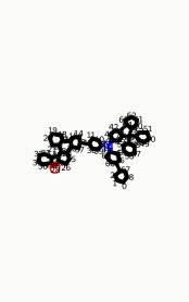 c1ccc(-c2ccc(N(c3ccc(-c4ccc5c6ccccc6c6c(ccc7oc8ccccc8c76)c5c4)cc3)c3ccc4c(c3)C(c3ccccc3)(c3ccccc3)c3ccccc3-4)cc2)cc1